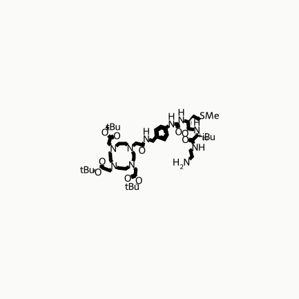 CC[C@H](C)[C@H](NC(=O)[C@H](CCSC)NC(=O)Nc1ccc(CNC(=O)CN2CCN(CC(=O)OC(C)(C)C)CCN(CC(=O)OC(C)(C)C)CCN(CC(=O)OC(C)(C)C)CC2)cc1)C(=O)NCCN